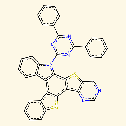 c1ccc(-c2nc(-c3ccccc3)nc(-n3c4ccccc4c4c5c6ccccc6sc5c5c6ncncc6sc5c43)n2)cc1